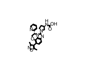 Cc1noc(C)c1-c1ccc2nc(N3CC[C@@H](NC(=O)O)C3)n3c2c1OC[C@@H]3c1ccccn1